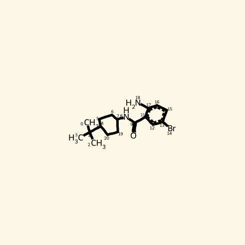 CC(C)(C)C1CCC(NC(=O)c2cc(Br)ccc2N)CC1